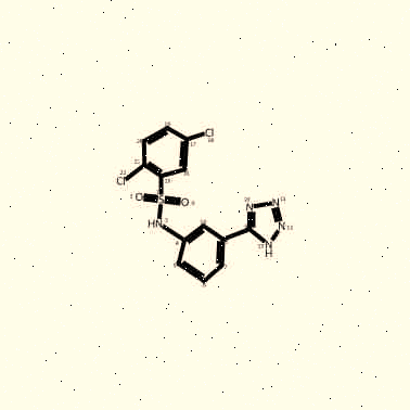 O=S(=O)(Nc1cccc(-c2nnn[nH]2)c1)c1cc(Cl)ccc1Cl